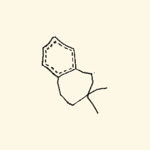 CC1(C)[CH]c2ccccc2CC1